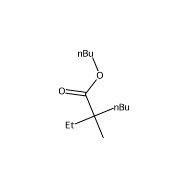 CCCCOC(=O)C(C)(CC)CCCC